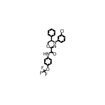 O=C(Nc1ccc(OC(F)(F)F)cc1)C1=NN(c2cccc(Cl)c2)C(c2ccccc2)CO1